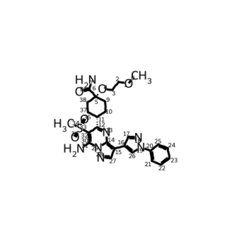 COCCO[C@]1(C(N)=O)CC[C@H](c2nc3c(-c4cnn(-c5ccccc5)c4)cnn3c(N)c2S(C)(=O)=O)CC1